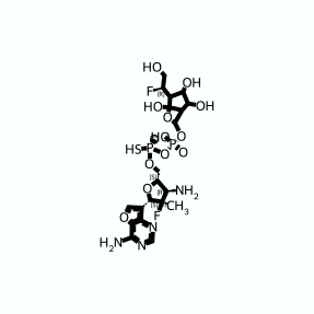 C[C@@]1(F)[C@H](N)[C@@H](COP(=O)(S)OP(=O)(O)OC2OC3(O)C2C(O)C(O)C3[C@@H](F)CO)O[C@H]1c1coc2c(N)ncnc12